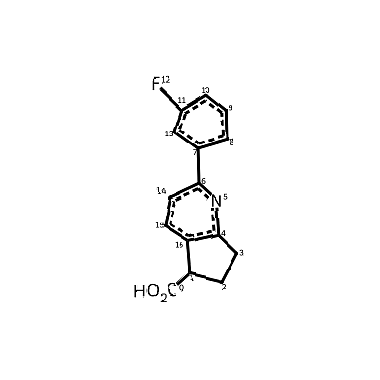 O=C(O)C1CCc2nc(-c3cccc(F)c3)ccc21